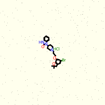 CC1(C)Cc2cc(Br)cc(OCCCN3CCC(n4c(=O)[nH]c5ccccc54)CC3)c2O1.Cl